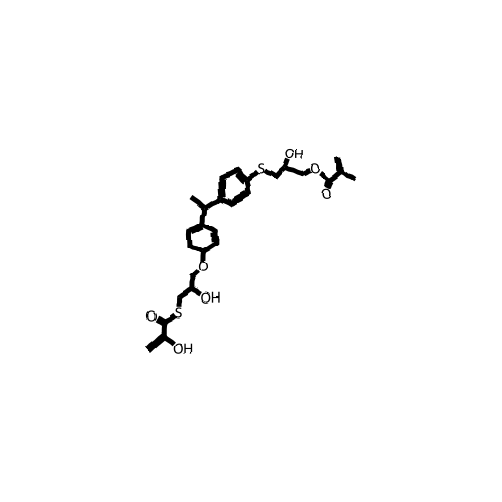 C=C(C)C(=O)OCC(O)CSc1ccc(C(C)C2=CCC(OCC(O)CSC(=O)C(=C)O)C=C2)cc1